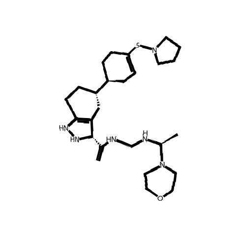 C=C(NCN[C@@H](C)N1CCOCC1)[C@@H]1NNC2=C1C[C@@H]([C@@H]1CC=C(SN3CCCC3)CC1)CC2